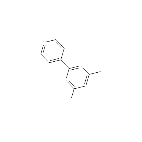 Cc1cc(O)nc(-c2ccncc2)n1